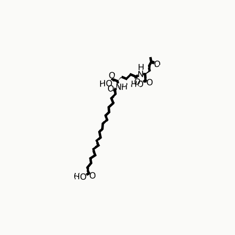 CC(=O)CC[C@H](NC(=O)CCC[C@H](NC(=O)CCCCCCCCCCCCCCCCCCC(=O)O)C(=O)O)C(=O)O